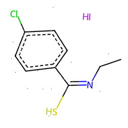 CC/N=C(/S)c1ccc(Cl)cc1.I